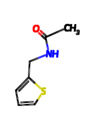 CC(=O)NCc1cccs1